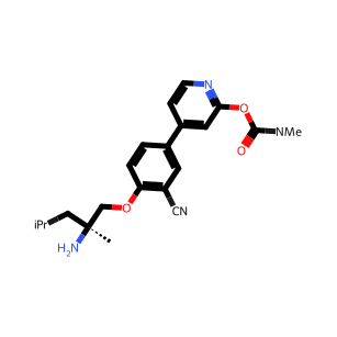 CNC(=O)Oc1cc(-c2ccc(OC[C@@](C)(N)CC(C)C)c(C#N)c2)ccn1